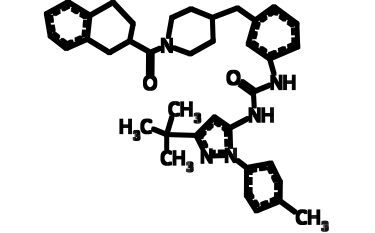 Cc1ccc(-n2nc(C(C)(C)C)cc2NC(=O)Nc2cccc(CC3CCN(C(=O)C4CCc5ccccc5C4)CC3)c2)cc1